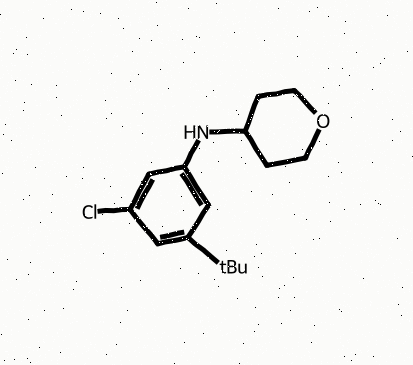 CC(C)(C)c1cc(Cl)cc(NC2CCOCC2)c1